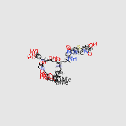 CO[C@H]1C[C@@H](C)C/C(C)=C/[C@@H](CCC(C)(C)N[C@H]2CCN(C(=O)[C@@H]3C[C@H](SC4=C(C=O)N5C(=O)[C@H]([C@@H](C)O)[C@H]5[C@H]4C)CN3C)C2)C(=O)C[C@H](O)[C@@H](C)[C@@H](/C(C)=C/[C@@H]2CC[C@@H](O)[C@H](O)C2)OC(=O)[C@@H]2CCCCN2C(=O)C(=O)[C@]2(O)O[C@H]1[C@@H](OC)C[C@H]2C